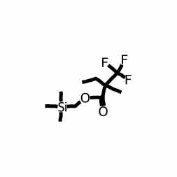 CCC(C)(C(=O)OC[Si](C)(C)C)C(F)(F)F